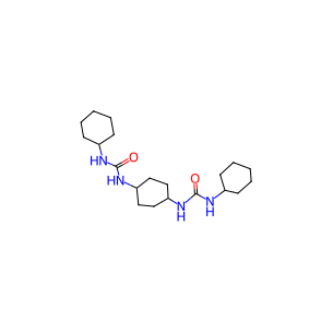 O=C(NC1CCCCC1)NC1CCC(NC(=O)NC2CCCCC2)CC1